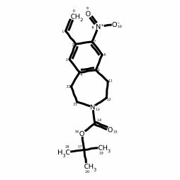 C=Cc1cc2c(cc1[N+](=O)[O-])CCN(C(=O)OC(C)(C)C)CC2